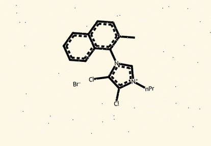 CCC[n+]1cn(-c2c(C)ccc3ccccc23)c(Cl)c1Cl.[Br-]